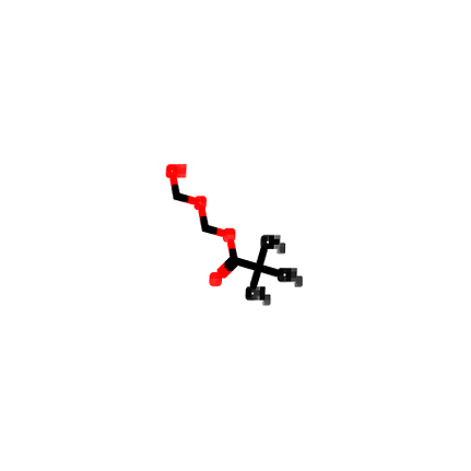 CC(C)(C)C(=O)OCOCO